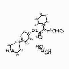 Cl.Cl.Cl.O=CCCC(C(=O)ON1CCN(C2CCNCC2)CC1)N1CCCCC1